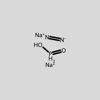 O=[PH2]O.[N-]=[N-].[Na+].[Na+]